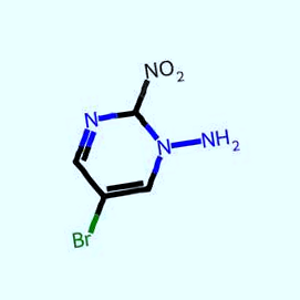 NN1C=C(Br)C=NC1[N+](=O)[O-]